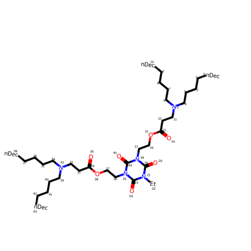 CCCCCCCCCCCCCCN(CCCCCCCCCCCCCC)CCC(=O)OCCn1c(=O)n(CC)c(=O)n(CCOC(=O)CCN(CCCCCCCCCCCCCC)CCCCCCCCCCCCCC)c1=O